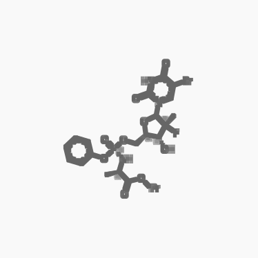 CC(C)OC(=O)[C@@H](C)N[P@](=O)(OC[C@H]1OC(n2cc(Br)c(=O)[nH]c2=O)[C@](C)(F)[C@@H]1O)Oc1ccccc1